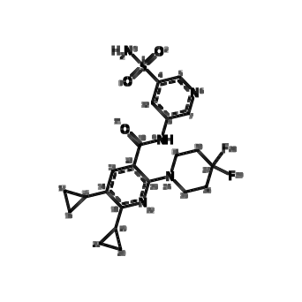 NS(=O)(=O)c1cncc(NC(=O)c2cc(C3CC3)c(C3CC3)nc2N2CCC(F)(F)CC2)c1